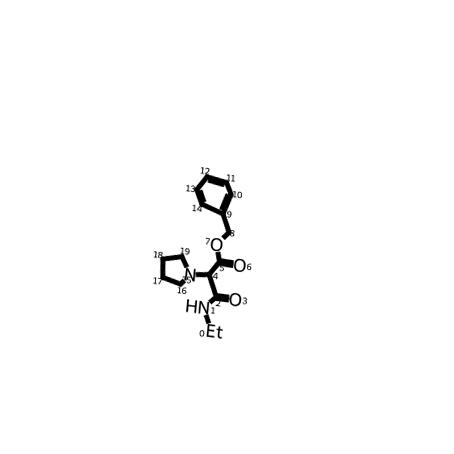 CCNC(=O)C(C(=O)OCc1ccccc1)N1CCCC1